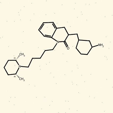 C[C@@H]1CCC[C@H](C)N1CCCCCN1C(=O)C(CC2CCCC(N)C2)Cc2ccccc21